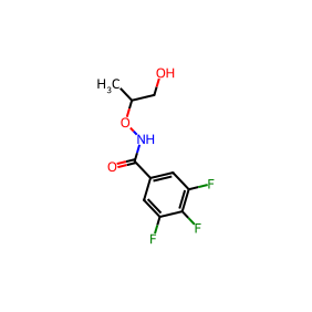 CC(CO)ONC(=O)c1cc(F)c(F)c(F)c1